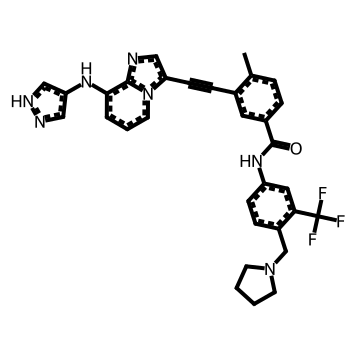 Cc1ccc(C(=O)Nc2ccc(CN3CCCC3)c(C(F)(F)F)c2)cc1C#Cc1cnc2c(Nc3cn[nH]c3)cccn12